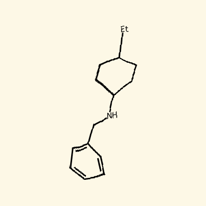 CCC1CCC(NCc2ccccc2)CC1